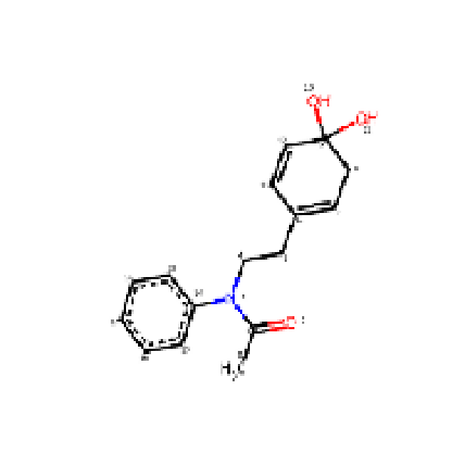 CC(=O)N(CCC1=CCC(O)(O)C=C1)c1ccccc1